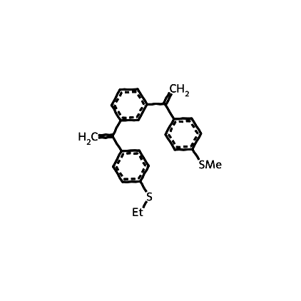 C=C(c1ccc(SC)cc1)c1cccc(C(=C)c2ccc(SCC)cc2)c1